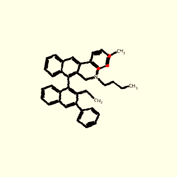 CCCCN(CCCC)Cc1c(-c2ccccc2)cc2ccccc2c1-c1c(CC)c(-c2ccccc2)cc2ccccc12